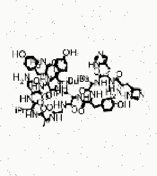 CC[C@H](C)[C@H](NC(=O)[C@H](Cc1cnc[nH]1)NC(=O)[C@@H](N)Cc1cnc[nH]1)C(=O)NC(Cc1ccc(O)cc1)C(=O)N[C@@H](CC(C)C)C(=O)NCC(=O)N[C@@H](C)C(=O)N[C@H](C(=O)N[C@@H](CC(N)=O)C(=O)N[C@@H](CCc1ccc(O)cc1)C(=O)N[C@H](C(=O)N[C@@H](Cc1ccc(O)cc1)C(N)=O)[C@@H](C)CC)C(C)C